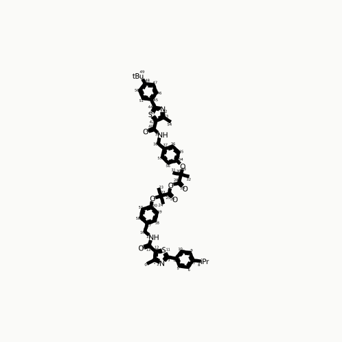 Cc1nc(-c2ccc(C(C)C)cc2)sc1C(=O)NCc1ccc(OC(C)(C)C(=O)OC(=O)C(C)(C)Oc2ccc(CNC(=O)c3sc(-c4ccc(C(C)(C)C)cc4)nc3C)cc2)cc1